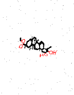 CCOC(=O)[C@]1(C)CC[C@]2(C)CC[C@]3(C)C4=CCc5c(cc(O)c(O)c5C)[C@]4(C)CC[C@@]3(CC)[C@@H]2C1